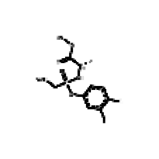 COCP(=O)(N[C@@H](C)C(=O)OC(C)C)Oc1ccc(Cl)c(Cl)c1